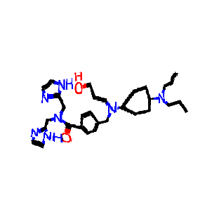 CCCN(CCC)[C@H]1CC[C@H](N(CCCO)Cc2ccc(C(=O)N(Cc3ncc[nH]3)Cc3ncc[nH]3)cc2)CC1